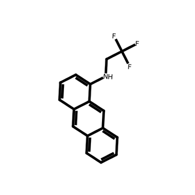 FC(F)(F)CNc1cccc2cc3ccccc3cc12